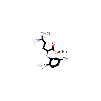 Cc1ccc([N+](=O)[O-])c(NC(CCC(N)C=O)C(=O)OC(C)(C)C)c1